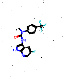 CN(C(=O)Nc1c[nH]c2ncc(F)cc12)c1ccc(C(F)(F)F)cc1